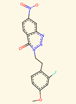 COc1ccc(CCn2nnc3cc([N+](=O)[O-])ccc3c2=O)c(F)c1